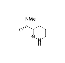 CNC(=O)C1CCCN[N]1